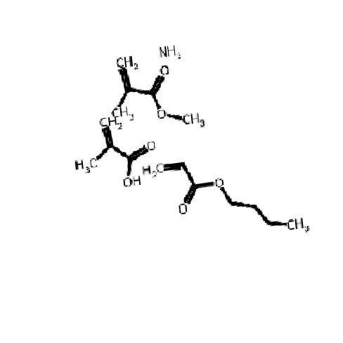 C=C(C)C(=O)O.C=C(C)C(=O)OC.C=CC(=O)OCCCC.N